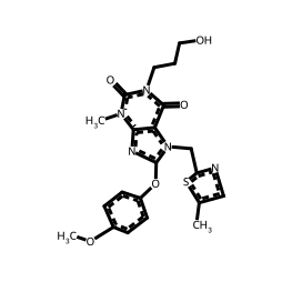 COc1ccc(Oc2nc3c(c(=O)n(CCCO)c(=O)n3C)n2Cc2ncc(C)s2)cc1